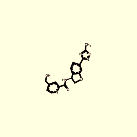 Cc1nc(-c2ccc3c(c2)OC[C@H]3NC(=O)c2cc(CO)ccn2)no1